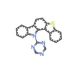 c1ccc2c(c1)sc1ccc3c4ccccc4n(-c4ncncn4)c3c12